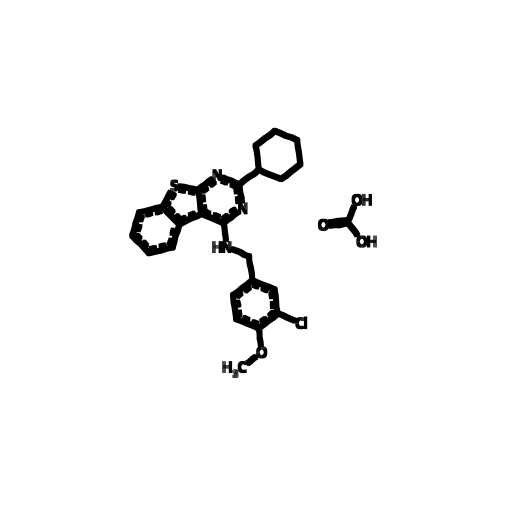 COc1ccc(CNc2nc(C3CCCCC3)nc3sc4ccccc4c23)cc1Cl.O=C(O)O